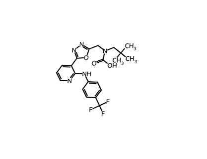 CC(C)(C)CN(Cc1nnc(-c2cccnc2Nc2ccc(C(F)(F)F)cc2)o1)C(=O)O